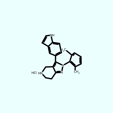 Cc1cccc(C)c1-n1nc2c(c1-c1ccc3[nH]ccc3c1)CNCC2.Cl